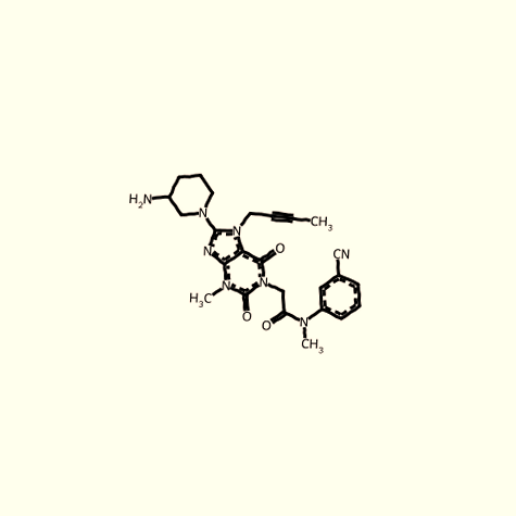 CC#CCn1c(N2CCCC(N)C2)nc2c1c(=O)n(CC(=O)N(C)c1cccc(C#N)c1)c(=O)n2C